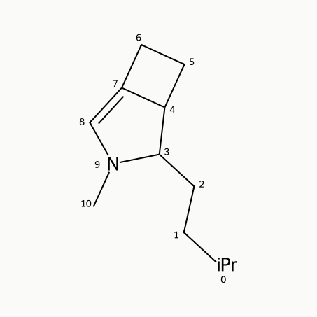 CC(C)CCC1C2CCC2=CN1C